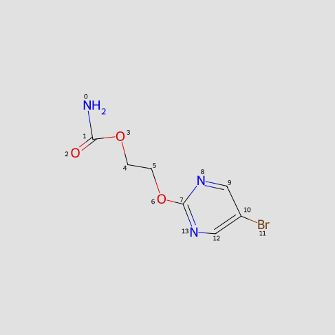 NC(=O)OCCOc1ncc(Br)cn1